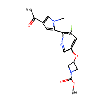 COC(=O)c1cc(-c2ncc(OC3CN(C(=O)OC(C)(C)C)C3)cc2F)n(C)c1